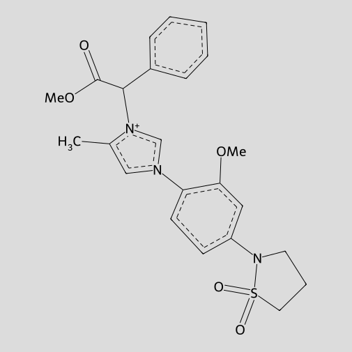 COC(=O)C(c1ccccc1)[n+]1cn(-c2ccc(N3CCCS3(=O)=O)cc2OC)cc1C